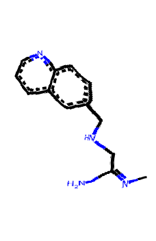 C/N=C(/N)CNCc1ccc2ncccc2c1